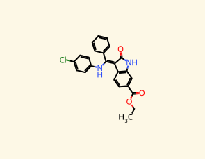 CCOC(=O)c1ccc2c(c1)NC(=O)/C2=C(/Nc1ccc(Cl)cc1)c1ccccc1